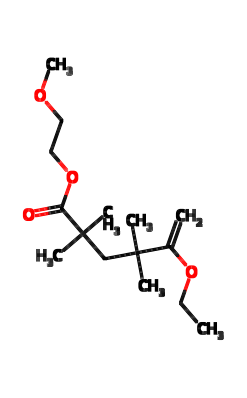 C=C(OCC)C(C)(C)CC(C)(C)C(=O)OCCOC